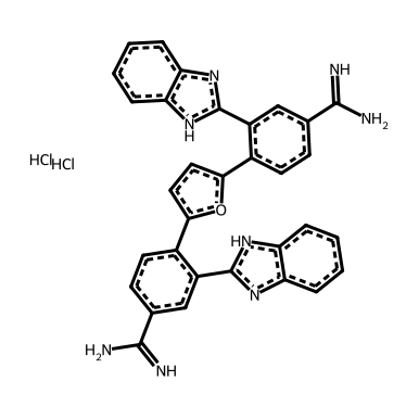 Cl.Cl.N=C(N)c1ccc(-c2ccc(-c3ccc(C(=N)N)cc3-c3nc4ccccc4[nH]3)o2)c(-c2nc3ccccc3[nH]2)c1